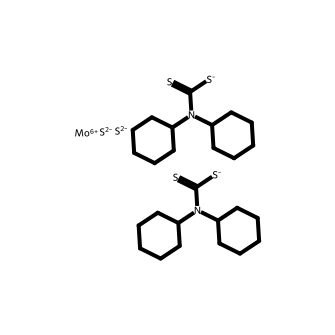 S=C([S-])N(C1CCCCC1)C1CCCCC1.S=C([S-])N(C1CCCCC1)C1CCCCC1.[Mo+6].[S-2].[S-2]